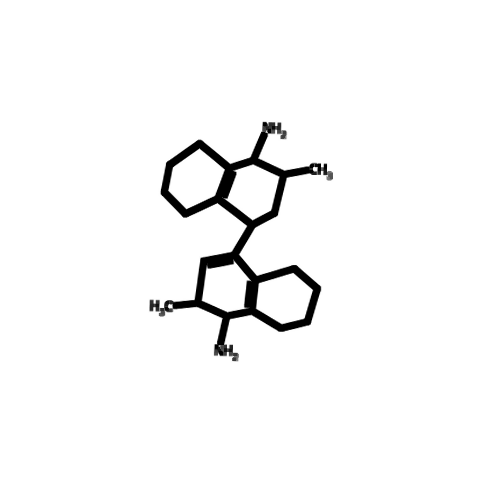 CC1C=C(C2CC(C)C(N)C3=C2CCCC3)C2=C(CCCC2)C1N